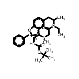 CCN(C(=O)CN(C)C(=O)[C@@H](Cc1ccccc1)NC(=O)OC(C)(C)C)C(C)Cc1ccc2c(c1)OCO2